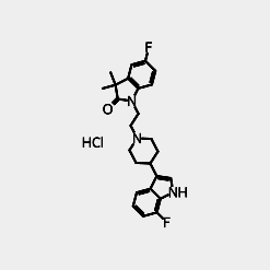 CC1(C)C(=O)N(CCN2CCC(c3c[nH]c4c(F)cccc34)CC2)c2ccc(F)cc21.Cl